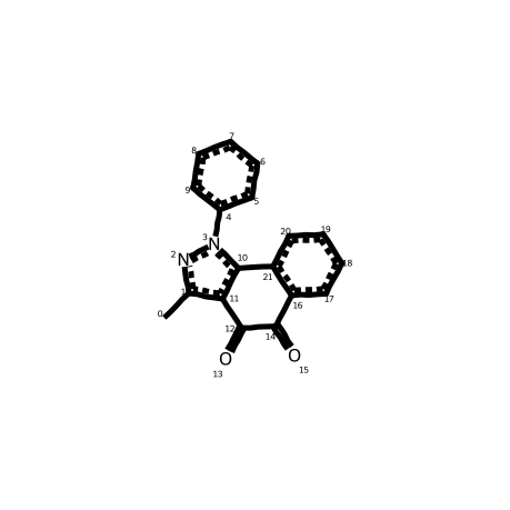 Cc1nn(-c2ccccc2)c2c1C(=O)C(=O)c1ccccc1-2